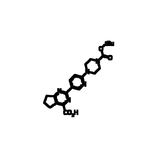 CC(C)(C)OC(=O)N1CCN(c2ccc(-c3nc4c(c(C(=O)O)n3)CCC4)cn2)CC1